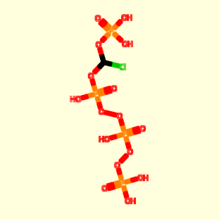 O=P(O)(O)OOP(=O)(O)OOP(=O)(O)OC(Cl)OP(=O)(O)O